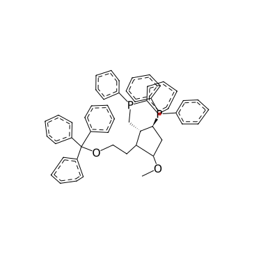 COC1C[C@H](P(c2ccccc2)c2ccccc2)[C@@H](CP(c2ccccc2)c2ccccc2)C1CCOC(c1ccccc1)(c1ccccc1)c1ccccc1